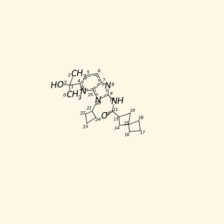 CC(C)(O)c1ccc2nc(NC(=O)C3CC4(CCC4)C3)n(C3CCC3)c2n1